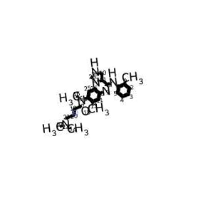 Cc1ccccc1NC1=Nc2cc(C)c(N(C)C(=O)/C=C/CN(C)C)cc2N2CNCC12